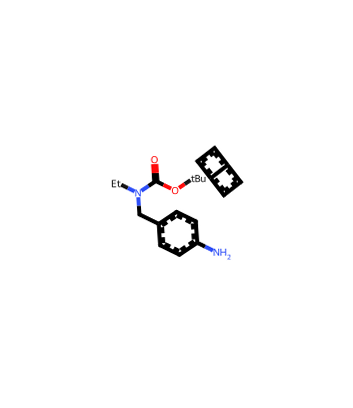 CCN(Cc1ccc(N)cc1)C(=O)OC(C)(C)C.c1cc2ccc1-2